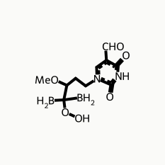 BC(B)(OO)C(CCn1cc(C=O)c(=O)[nH]c1=O)OC